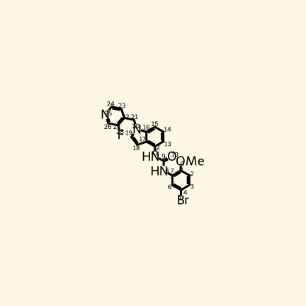 COc1ccc(Br)cc1NC(=O)Nc1cccc2c1ccn2Cc1ccncc1F